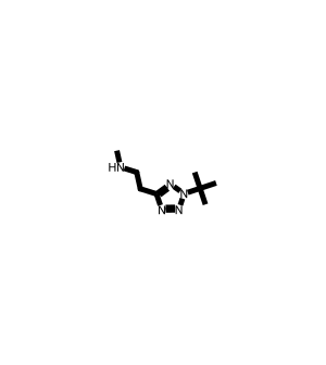 CNCCc1nnn(C(C)(C)C)n1